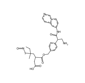 CCC(C)(CC(CC(=O)O)C(=O)OCc1ccc(C(CN)C(=O)Nc2ccc3cnccc3c2)cc1)SN=O